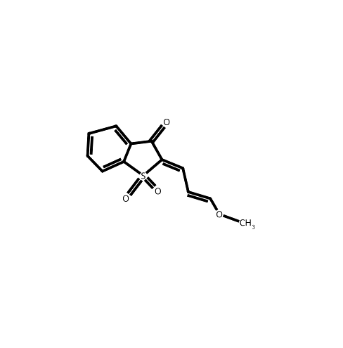 CO/C=C/C=C1/C(=O)c2ccccc2S1(=O)=O